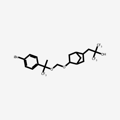 CCC(C)c1ccc(C(C)(OCOC2CC3CC2CC3CC(O)(C(F)(F)F)C(F)(F)F)C(F)(F)F)cc1